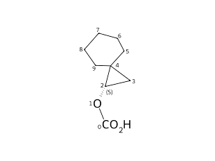 O=C(O)O[C@H]1CC12CCCCC2